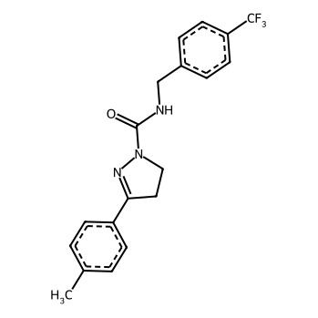 Cc1ccc(C2=NN(C(=O)NCc3ccc(C(F)(F)F)cc3)CC2)cc1